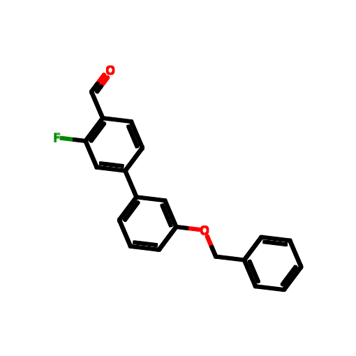 O=Cc1ccc(-c2cccc(OCc3ccccc3)c2)cc1F